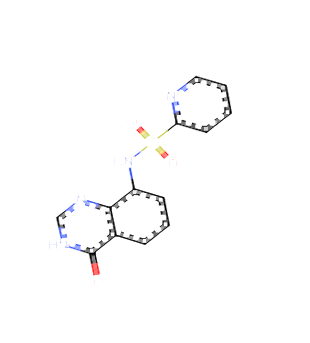 O=c1[nH]cnc2c(NS(=O)(=O)c3ccccn3)cccc12